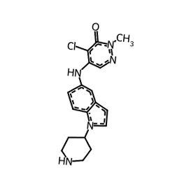 Cn1ncc(Nc2ccc3c(ccn3C3CCNCC3)c2)c(Cl)c1=O